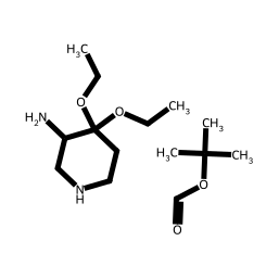 CC(C)(C)OC=O.CCOC1(OCC)CCNCC1N